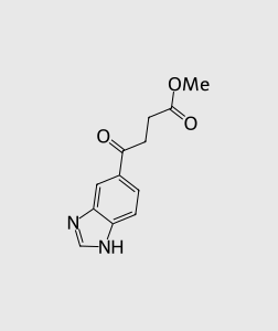 COC(=O)CCC(=O)c1ccc2[nH]cnc2c1